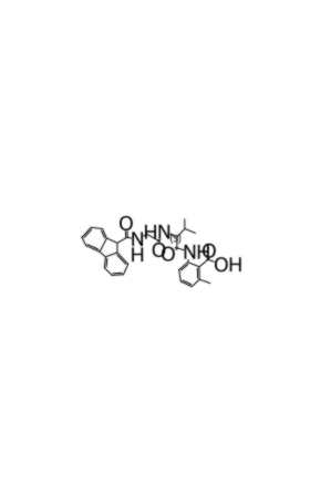 Cc1cccc(NC(=O)[C@@H](NC(=O)CNC(=O)C2c3ccccc3-c3ccccc32)C(C)C)c1C(=O)O